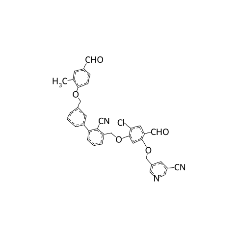 Cc1cc(C=O)ccc1OCc1cccc(-c2cccc(COc3cc(OCc4cncc(C#N)c4)c(C=O)cc3Cl)c2C#N)c1